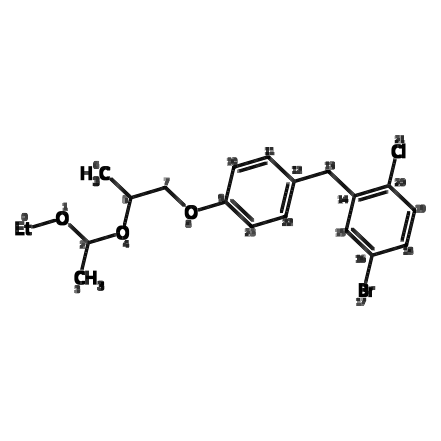 CCOC(C)OC(C)COc1ccc(Cc2cc(Br)ccc2Cl)cc1